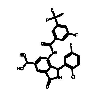 O=C(Nc1cc(B(O)O)cc2c1C(c1cc(F)ccc1Cl)NC2=O)c1cc(F)cc(C(F)(F)F)c1